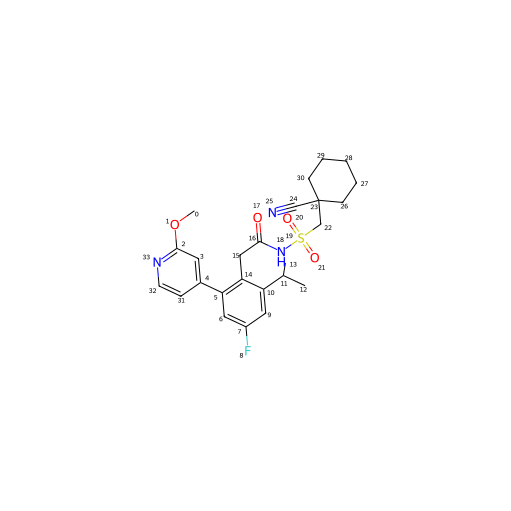 COc1cc(-c2cc(F)cc(C(C)C)c2CC(=O)NS(=O)(=O)CC2(C#N)CCCCC2)ccn1